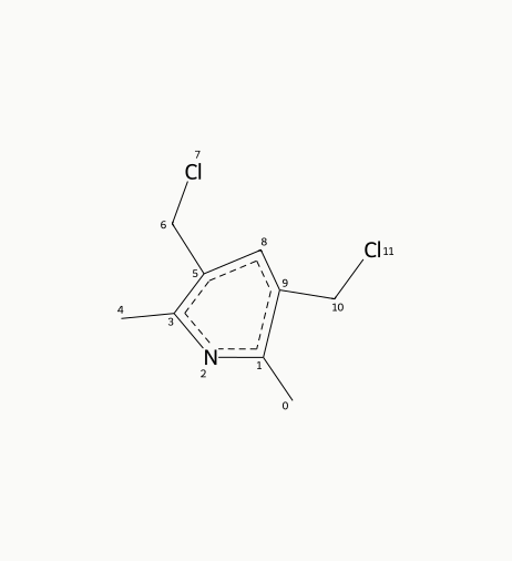 Cc1nc(C)c(CCl)cc1CCl